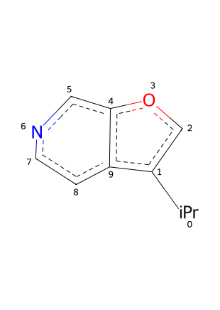 CC(C)c1coc2cnccc12